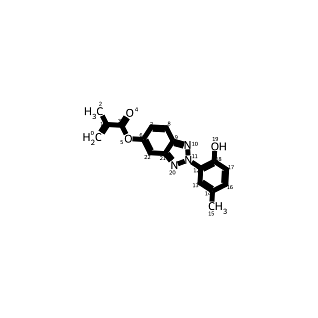 C=C(C)C(=O)Oc1ccc2nn(-c3cc(C)ccc3O)nc2c1